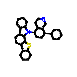 c1ccc(-c2ccc(-n3c4ccccc4c4ccc5c6ccccc6sc5c43)c3ccncc23)cc1